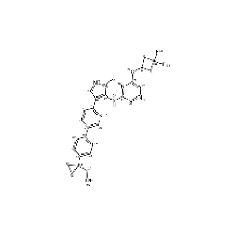 Cn1ncc(-c2ccc(-c3ccc(C4(CO)CC4)cc3)cn2)c1Nc1cncc(OC2CC(F)(F)C2)n1